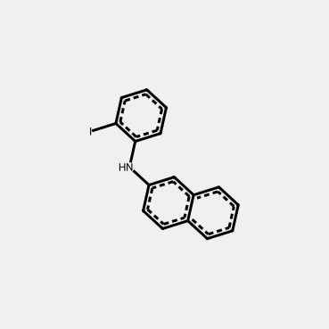 Ic1ccccc1Nc1ccc2ccccc2c1